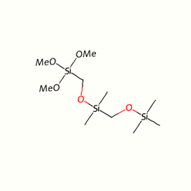 CO[Si](CO[Si](C)(C)CO[Si](C)(C)C)(OC)OC